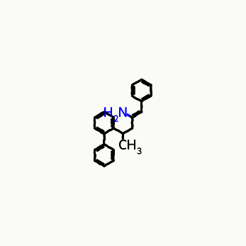 CC(CC(N)=Cc1ccccc1)c1ccccc1-c1ccccc1